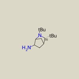 CC(C)(C)[C@@H]1C2CC(N)C(C2)N1C(C)(C)C